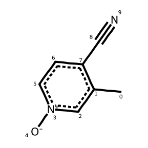 Cc1c[n+]([O-])ccc1C#N